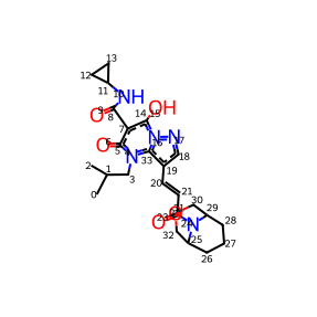 CC(C)Cn1c(=O)c(C(=O)NC2CC2)c(O)n2ncc(C=CC(=O)N3C4CCCC3COC4)c12